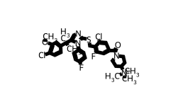 COc1cc(C(C)(C)c2cnc(SCc3c(F)cc(C(=O)N4CCC([N+](C)(C)C)CC4)cc3Cl)n2-c2ccc(F)cc2)ccc1Cl